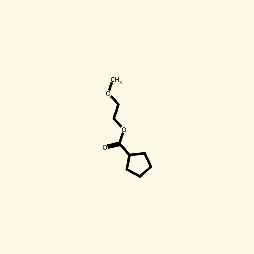 COCCOC(=O)C1CCCC1